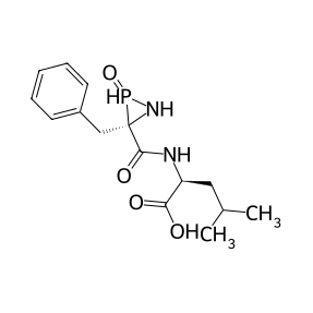 CC(C)C[C@H](NC(=O)[C@]1(Cc2ccccc2)N[PH]1=O)C(=O)O